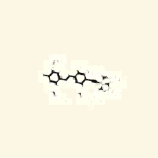 CCOc1cc(C=Cc2cc(OC)c(I)cc2OCC)c(C)cc1C#C[Si](C(C)C)(C(C)C)C(C)C